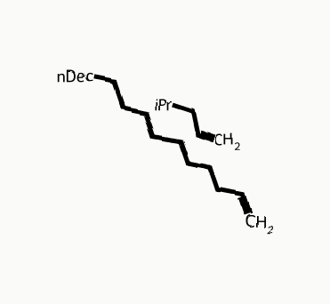 C=CCC(C)C.C=CCCCCCCCCCCCCCCCCCC